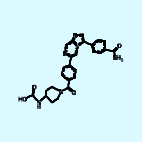 NC(=O)c1ccc(-c2cnc3cnc(-c4ccc(C(=O)N5CCC(NC(=O)O)CC5)cc4)cn23)cc1